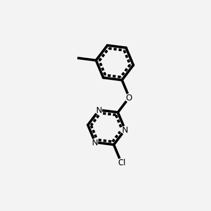 Cc1cccc(Oc2ncnc(Cl)n2)c1